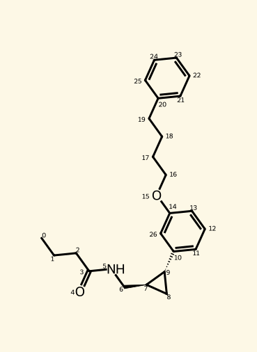 CCCC(=O)NC[C@@H]1C[C@H]1c1cccc(OCCCCc2ccccc2)c1